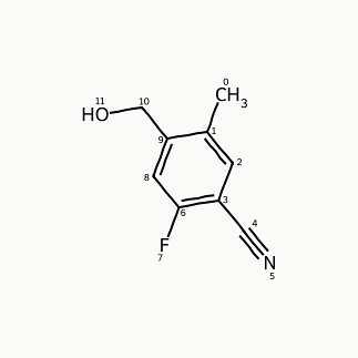 Cc1cc(C#N)c(F)cc1CO